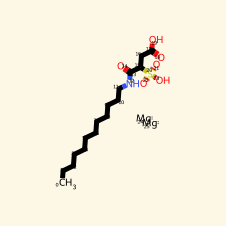 CCCCCCCCCCCCNC(=O)C(CC(=O)O)S(=O)(=O)O.[Mg].[Mg]